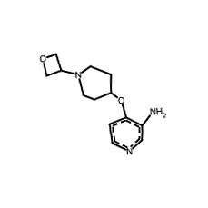 Nc1cnccc1OC1CCN(C2COC2)CC1